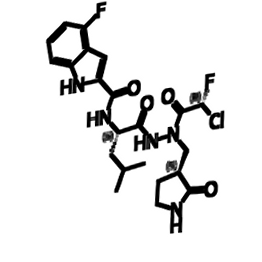 CC(C)C[C@H](NC(=O)c1cc2c(F)cccc2[nH]1)C(=O)NN(C[C@@H]1CCNC1=O)C(=O)[C@H](F)Cl